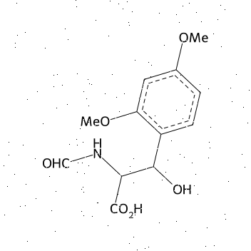 COc1ccc(C(O)C(NC=O)C(=O)O)c(OC)c1